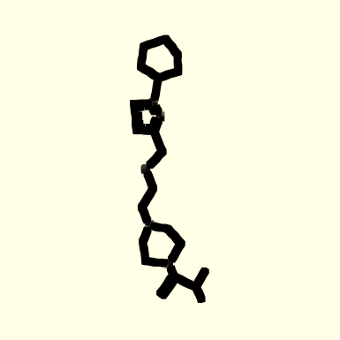 C=C(C(C)C)N1CCN(CCOCc2ccn(C3CCCCC3)n2)CC1